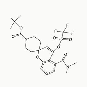 CN(C)C(=O)c1cccc2c1C(OS(=O)(=O)C(F)(F)F)=CC1(CCN(C(=O)OC(C)(C)C)CC1)O2